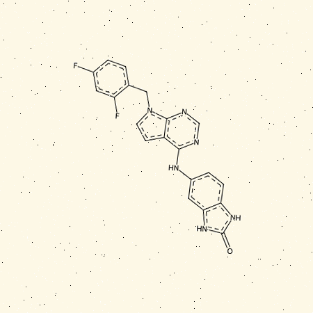 O=c1[nH]c2ccc(Nc3ncnc4c3ccn4Cc3ccc(F)cc3F)cc2[nH]1